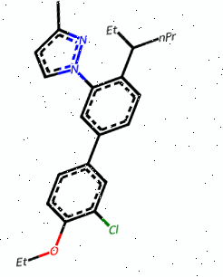 CCCC(CC)c1ccc(-c2ccc(OCC)c(Cl)c2)cc1-n1ccc(C)n1